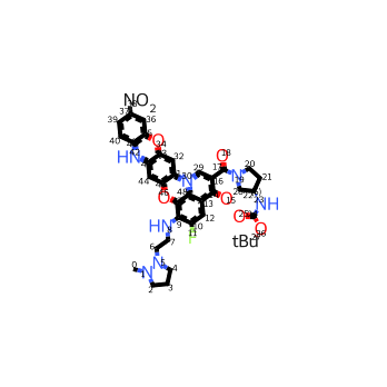 CN1CCCN1CCNc1c(F)cc2c(=O)c(C(=O)N3CC[C@H](NC(=O)OC(C)(C)C)C3)cn3c4cc5oc6cc([N+](=O)[O-])ccc6[nH]c5cc4oc1c23